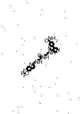 NC(=O)c1ccc2c(c1)nc(NCCCNC(=O)CCNCc1ccc3cc(OC(F)(F)F)ccc3n1)c1ccncc12